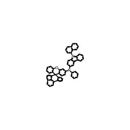 c1ccc(N(c2ccc3c(c2)Oc2ccccc2C32c3ccccc3-c3cccc4cccc2c34)c2ccc3c(c2)c2ccccc2n3-c2cccc3ccccc23)cc1